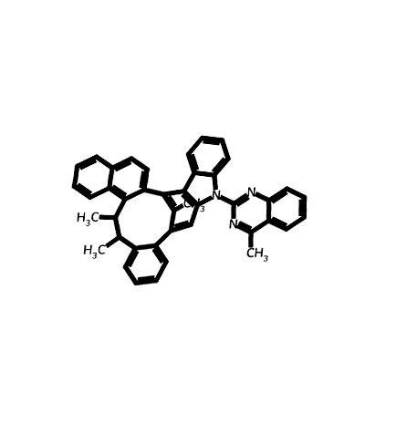 Cc1c2cc3c(c1-c1ccc4ccccc4c1C(C)C(C)c1ccccc1-2)c1ccccc1n3-c1nc(C)c2ccccc2n1